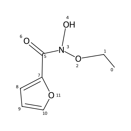 CCON(O)C(=O)c1ccco1